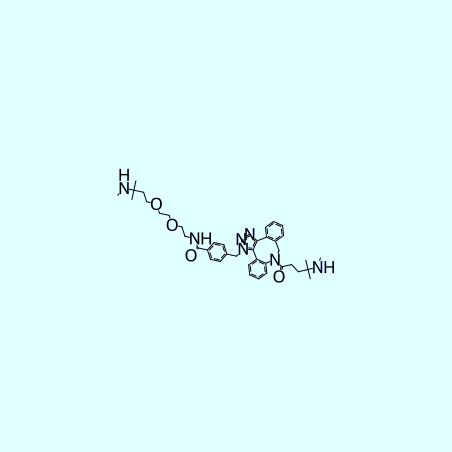 CNC(C)(C)CCOCCOCCNC(=O)c1ccc(Cn2nnc3c2-c2ccccc2N(C(=O)CCC(C)(C)NC)Cc2ccccc2-3)cc1